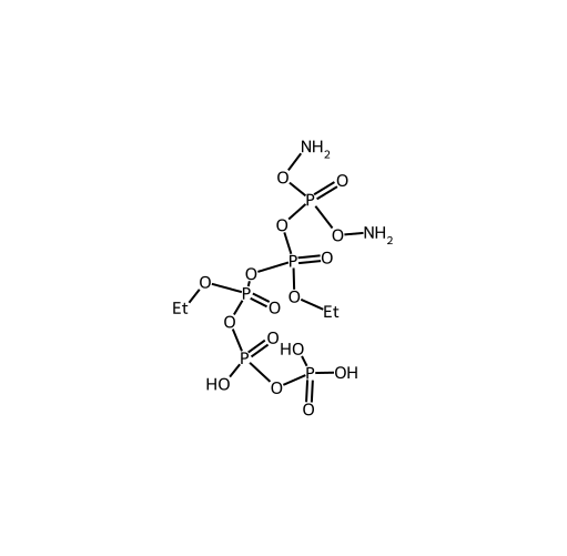 CCOP(=O)(OP(=O)(O)OP(=O)(O)O)OP(=O)(OCC)OP(=O)(ON)ON